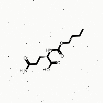 CCCCOC(=O)N[C@H](CCC(N)=O)C(=O)O